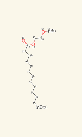 CCCCCCCCCCCCCCCCCCCCCC(=O)OCCOCCCC